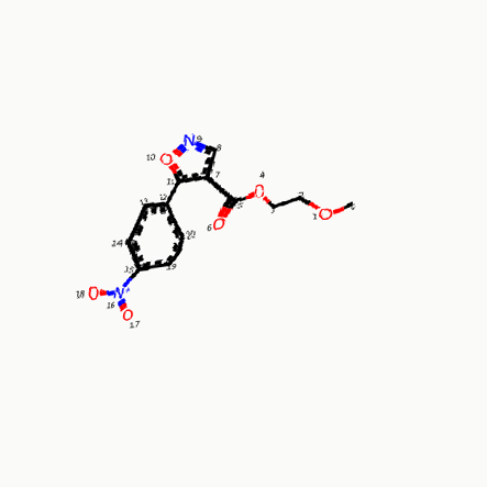 COCCOC(=O)c1cnoc1-c1ccc([N+](=O)[O-])cc1